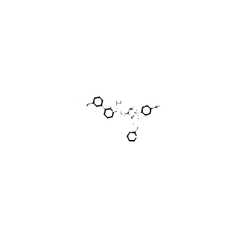 O=C(O)c1cccc(-c2cccc(NN=C3C=N[N+](COCc4ccccc4)(c4ccc(C(F)(F)F)cc4)C3=O)c2O)c1